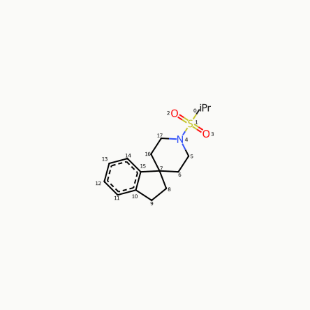 CC(C)S(=O)(=O)N1CCC2(CCc3ccccc32)CC1